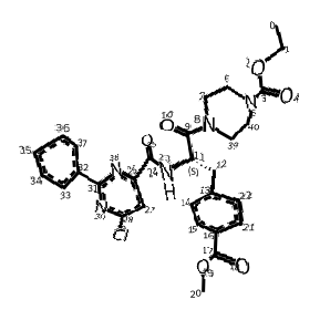 CCOC(=O)N1CCN(C(=O)[C@H](Cc2ccc(C(=O)OC)cc2)NC(=O)c2cc(Cl)nc(-c3ccccc3)n2)CC1